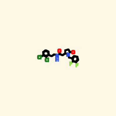 O=C(CC1CCC(=O)N1Cc1cccc(F)c1F)NCCc1cccc(Cl)c1Cl